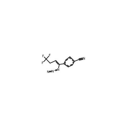 N#Cc1ccc(C(=CCC(F)(F)F)N=[N+]=[N-])cc1